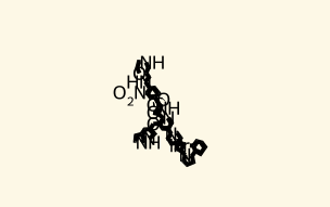 CC(C)c1ccccc1C1CCCN1C1CC2(CCN(c3cnc(C(=O)NS(=O)(=O)c4ccc(NCC5CNCCO5)c([N+](=O)[O-])c4)c(Oc4cnc5[nH]ccc5c4)c3)CC2)C1